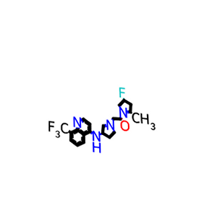 C[C@@H]1C[C@H](F)CN1C(=O)CN1CC[C@@H](Nc2ccnc3c(C(F)(F)F)cccc23)C1